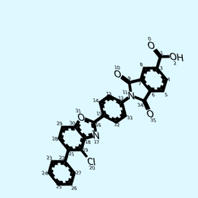 O=C(O)c1ccc2c(c1)C(=O)N(c1ccc(-c3nc4c(Cl)c(-c5ccccc5)ccc4o3)cc1)C2=O